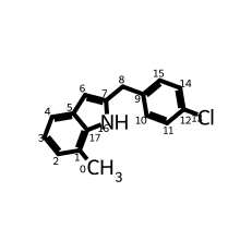 Cc1cccc2cc(Cc3ccc(Cl)cc3)[nH]c12